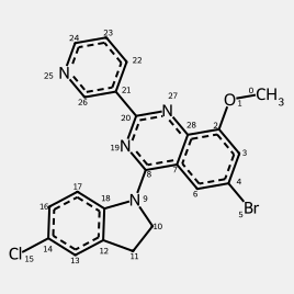 COc1cc(Br)cc2c(N3CCc4cc(Cl)ccc43)nc(-c3cccnc3)nc12